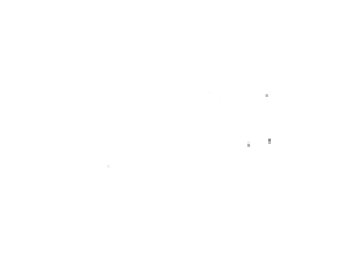 [2H][C@@]12C[C@H](N(C)c3ccc(-c4ccc(-n5ccnc5)cc4O)nn3)C[C@@](C)([C@H](F)C1)N2C